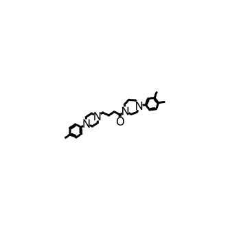 Cc1ccc(N2CCN(CCCC(=O)N3CCCN(c4ccc(C)c(C)c4)CC3)CC2)cc1